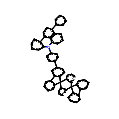 c1ccc(-c2ccc(-c3ccccc3N(c3ccccc3)c3ccc(-c4ccc5c(c4)-c4ccccc4C54c5ccccc5C5(c6ccccc6-c6ccccc65)c5ccccc54)cc3)cc2)cc1